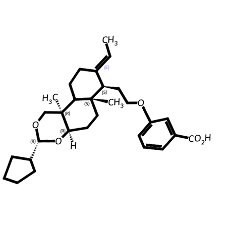 C/C=C1\CCC2[C@]3(C)CO[C@@H](C4CCCC4)O[C@@H]3CC[C@@]2(C)[C@@H]1CCOc1cccc(C(=O)O)c1